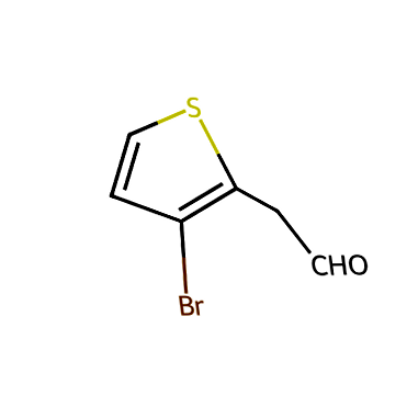 O=CCc1sccc1Br